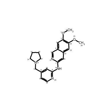 COc1cc2cnc(Nc3cc(CN4CCCC4)ccn3)cc2cc1OC